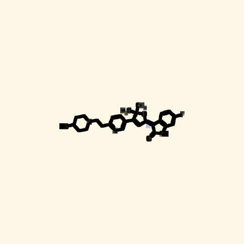 CC1(C)O/C(=C2/C(=O)Nc3cc(F)ccc32)C=C1c1ccc(CCN2CCC(O)CC2)nc1